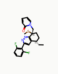 CC[C@H]1CC[C@@](Cn2ccccc2=O)(SC)c2nnc(-c3c(F)cccc3F)cc21